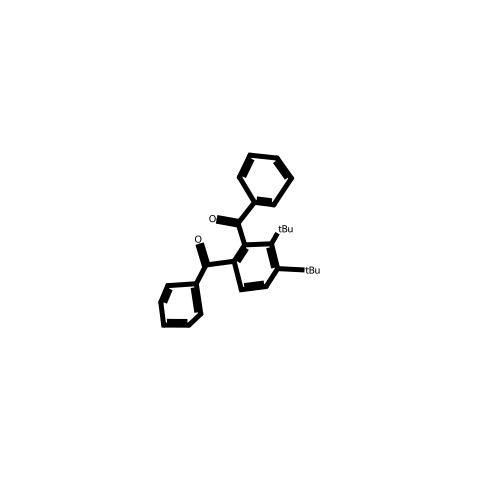 CC(C)(C)c1ccc(C(=O)c2ccccc2)c(C(=O)c2ccccc2)c1C(C)(C)C